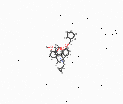 CO[C@@]12CC[C@]3(C=C1C(C)=O)[C@H]1Cc4ccc(OCc5ccccc5)c5c4[C@@]3(CCN1CC1CC1)[C@H]2O5